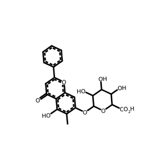 Cc1c(OC2OC(C(=O)O)C(O)C(O)C2O)cc2oc(-c3ccccc3)cc(=O)c2c1O